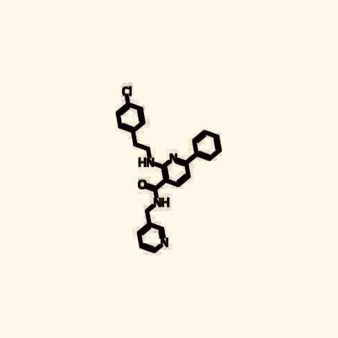 O=C(NCc1cccnc1)c1ccc(-c2ccccc2)nc1NCCc1ccc(Cl)cc1